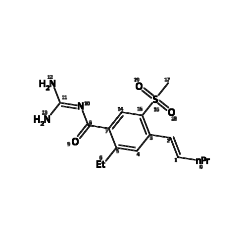 CCCC=Cc1cc(CC)c(C(=O)N=C(N)N)cc1S(C)(=O)=O